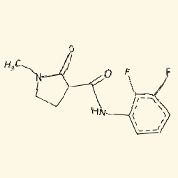 CN1CCC(C(=O)Nc2cccc(F)c2F)C1=O